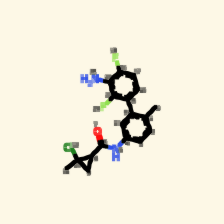 Cc1ccc(NC(=O)C2CC2(C)Cl)cc1-c1ccc(F)c(N)c1F